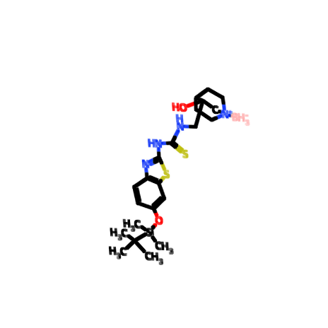 [BH3-][N+]12CCC(CC1)C(O)(CNC(=S)Nc1nc3ccc(O[Si](C)(C)C(C)(C)C)cc3s1)C2